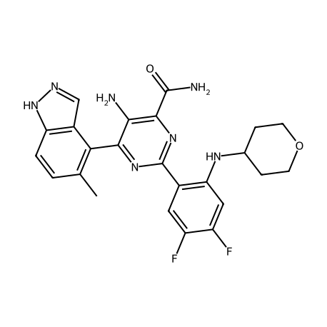 Cc1ccc2[nH]ncc2c1-c1nc(-c2cc(F)c(F)cc2NC2CCOCC2)nc(C(N)=O)c1N